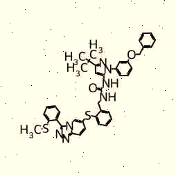 CSc1ccccc1-c1nnc2ccc(Sc3ccccc3CNC(=O)Nc3cc(C(C)(C)C)nn3-c3cccc(OCc4ccccc4)c3)cn12